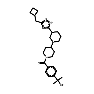 CC(C)(O)c1ccc(C(=O)N2CCC(N3CCCC(c4nc(CC5CCC5)n[nH]4)C3)CC2)cc1